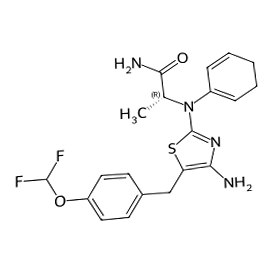 C[C@H](C(N)=O)N(C1=CCCC=C1)c1nc(N)c(Cc2ccc(OC(F)F)cc2)s1